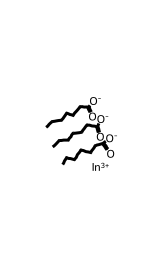 CCCCCCC(=O)[O-].CCCCCCC(=O)[O-].CCCCCCC(=O)[O-].[In+3]